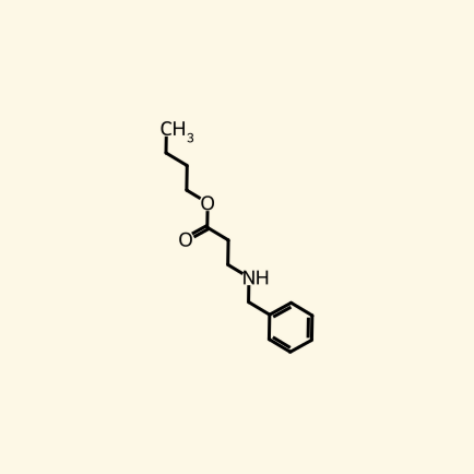 CCCCOC(=O)CCNCc1ccccc1